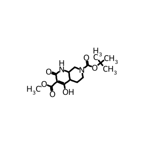 COC(=O)C1=C(O)C2CCN(C(=O)OC(C)(C)C)CC2NC1=O